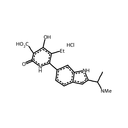 CCc1c(-c2ccc3cc(C(C)NC)[nH]c3c2)[nH]c(=O)c(C(=O)O)c1O.Cl